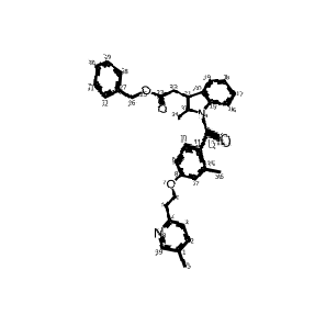 Cc1ccc(CCOc2ccc(C(=O)N3c4ccccc4C(CC(=O)OCc4ccccc4)C3C)c(C)c2)nc1